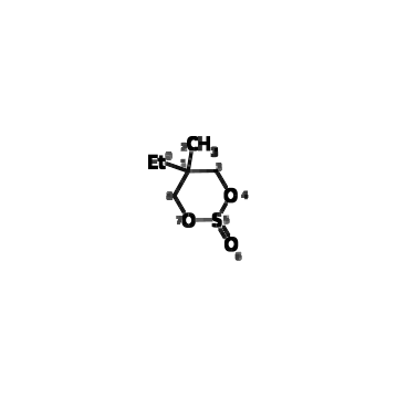 CCC1(C)COS(=O)OC1